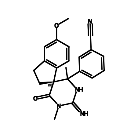 COc1ccc2c(c1)CC[C@@]21C(=O)N(C)C(=N)NC1(C)c1cccc(C#N)c1